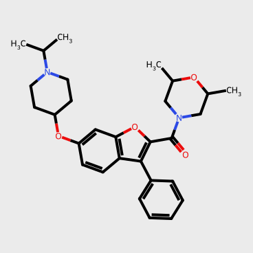 CC1CN(C(=O)c2oc3cc(OC4CCN(C(C)C)CC4)ccc3c2-c2ccccc2)CC(C)O1